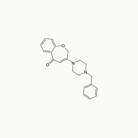 O=C1C=C(N2CCN(Cc3ccccc3)CC2)COc2ccccc21